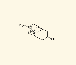 Cc1c2c3c(O)c(c1CC(C)C2)CC(C)C3